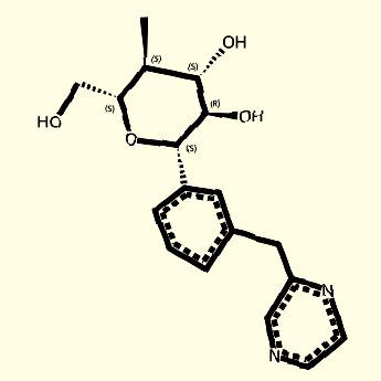 C[C@H]1[C@H](O)[C@@H](O)[C@H](c2cccc(Cc3cnccn3)c2)O[C@@H]1CO